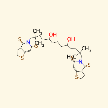 CC(C)(CCC(O)CCCC(O)CCC(C)(C)CN1C(=S)C=C2SCCC2C1=S)CN1C(=S)C=C2SCCC2C1=S